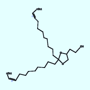 CCCCCCCC/C=C\CCCCCCCCC1(CCCCCCCC/C=C\CCCCCCCC)OCC(CCO)O1